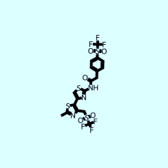 Cc1nc(CS(=O)(=O)C(F)(F)F)c(-c2csc(NC(=O)Cc3ccc(S(=O)(=O)C(F)(F)F)cc3)n2)s1